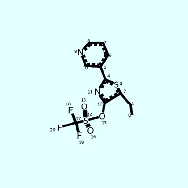 CCc1sc(-c2cccnc2)nc1OS(=O)(=O)C(F)(F)F